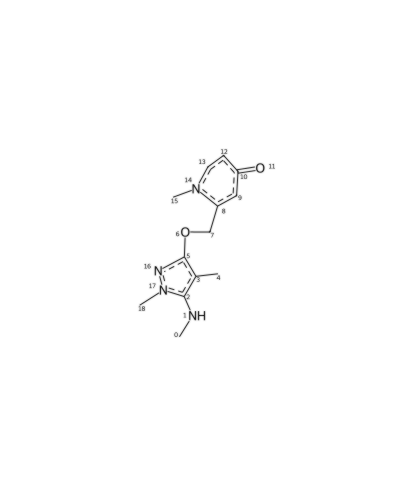 CNc1c(C)c(OCc2cc(=O)ccn2C)nn1C